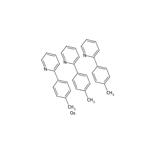 Cc1ccc(-c2ccccn2)cc1.Cc1ccc(-c2ccccn2)cc1.Cc1ccc(-c2ccccn2)cc1.[Os]